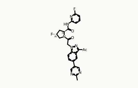 CC(=O)c1nn(CC(=O)N2C[C@H](F)C[C@H]2C(=O)Nc2cccc(F)n2)c2ccc(-c3cnc(C)nc3)cc12